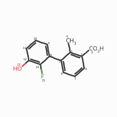 Cc1c(C(=O)O)cccc1-c1cccc(O)c1F